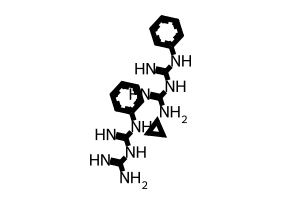 C1CC1.N=C(N)NC(=N)Nc1ccccc1.N=C(N)NC(=N)Nc1ccccc1